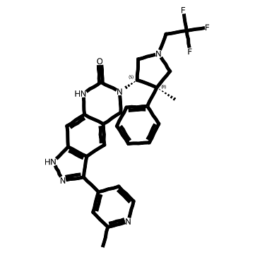 Cc1cc(-c2n[nH]c3cc4c(cc23)CN([C@@H]2CN(CC(F)(F)F)C[C@@]2(C)c2ccccc2)C(=O)N4)ccn1